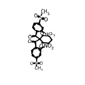 CS(=O)(=O)c1ccc(C(=O)C2(C(=O)c3ccc(S(C)(=O)=O)cc3[N+](=O)[O-])C(=O)CCCC2=O)c([N+](=O)[O-])c1